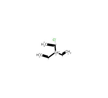 C=[CH][Ge+]([CH]=C)[CH]=C.[Cl-]